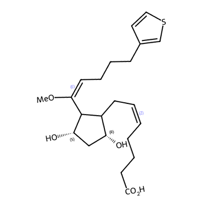 CO/C(=C/CCCc1ccsc1)C1C(C/C=C\CCCC(=O)O)[C@H](O)C[C@@H]1O